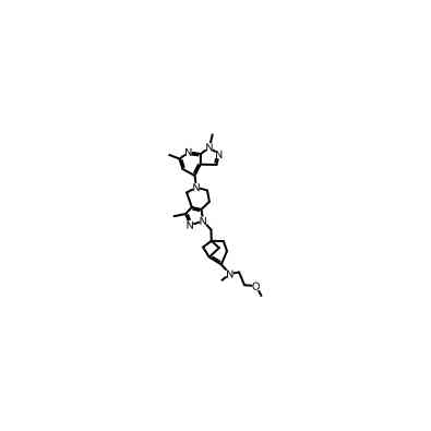 COCCN(C)C1=C2CC(Cn3nc(C)c4c3CCN(c3cc(C)nc5c3cnn5C)C4)(CC1)C2